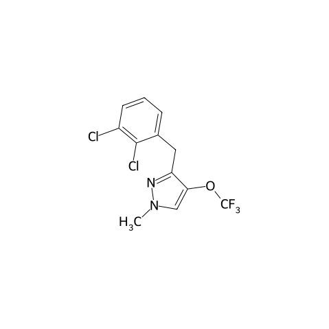 Cn1cc(OC(F)(F)F)c(Cc2cccc(Cl)c2Cl)n1